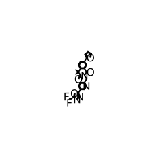 CC1(C)C(=O)N(Cc2ccc(-c3nnc(C(F)F)o3)cn2)C(=O)c2cc(-c3ccco3)ccc21